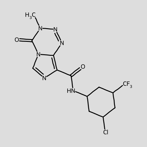 Cn1nnc2c(C(=O)NC3CC(Cl)CC(C(F)(F)F)C3)ncn2c1=O